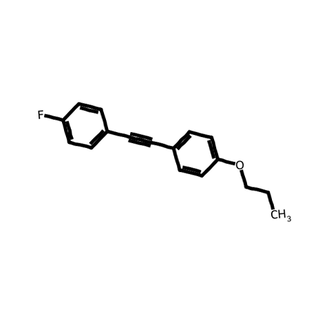 CCCOc1ccc(C#Cc2ccc(F)cc2)cc1